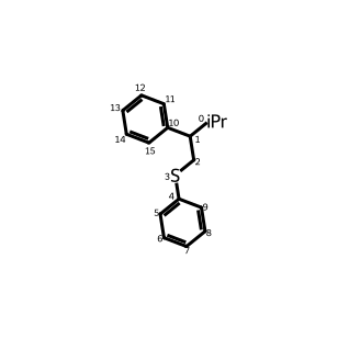 CC(C)C(CSc1ccccc1)c1ccccc1